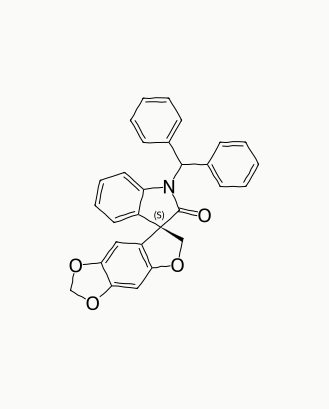 O=C1N(C(c2ccccc2)c2ccccc2)c2ccccc2[C@]12COc1cc3c(cc12)OCO3